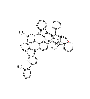 Cc1ccccc1-c1ccc2c(c1)c1ccccc1n2-c1ccc(-c2nc(-c3ccccc3)nc(-c3ccccc3)n2)cc1-c1ccc(C(F)(F)F)cc1-n1c2ccccc2c2cc(-c3ccccc3C)ccc21